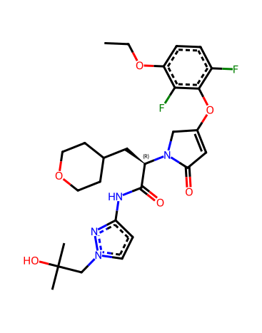 CCOc1ccc(F)c(OC2=CC(=O)N([C@H](CC3CCOCC3)C(=O)Nc3ccn(CC(C)(C)O)n3)C2)c1F